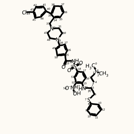 CN(C)CC[C@H](CSc1ccccc1)Nc1ccc(S(=O)(=O)NC(=O)c2ccc(N3CCN(Cc4ccccc4-c4ccc(Cl)cc4)CC3)cc2)cc1[NH+]([O-])O